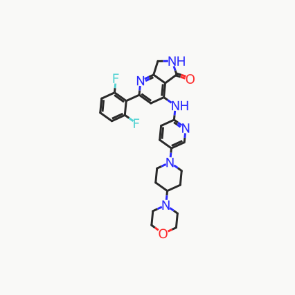 O=C1NCc2nc(-c3c(F)cccc3F)cc(Nc3ccc(N4CCC(N5CCOCC5)CC4)cn3)c21